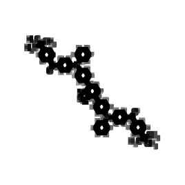 CC(C)(C)c1ccc(C(=O)c2ccc(N(c3ccccc3)c3ccc(-c4ccc(-c5ccc(N(c6ccccc6)c6ccc(C(=O)c7ccc(C(C)(C)C)cc7)cc6)cc5)c5nsnc45)cc3)cc2)cc1